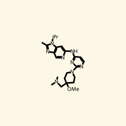 COC1(CN(C)C)CCN(c2nccc(Nc3cc4c(cn3)nc(C)n4C(C)C)n2)CC1